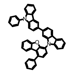 c1ccc(-c2ccc(-n3c4ccccc4c4ccc(-c5ccc6c(c5)c5ccccc5n6-c5ccccc5)cc43)c3oc4ccccc4c23)cc1